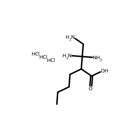 CCCCC(C(=O)O)C(N)(N)CN.Cl.Cl.Cl